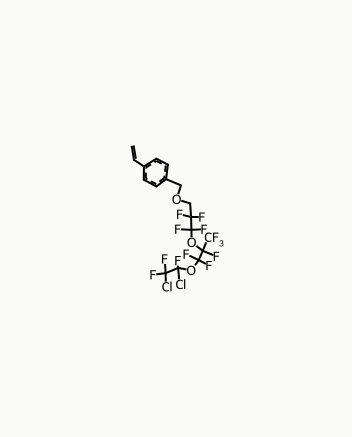 C=Cc1ccc(COCC(F)(F)C(F)(F)OC(F)(C(F)(F)F)C(F)(F)OC(F)(Cl)C(F)(F)Cl)cc1